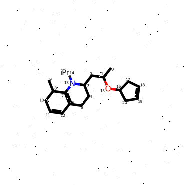 CC(CC1CCC2=C(C(C)CC=C2)N1C(C)C)OC1CC=CC1